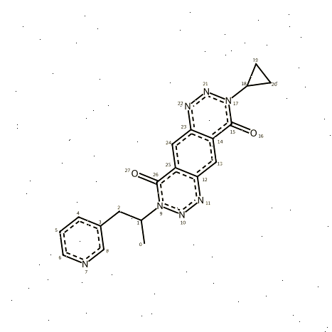 CC(Cc1cccnc1)n1nnc2cc3c(=O)n(C4CC4)nnc3cc2c1=O